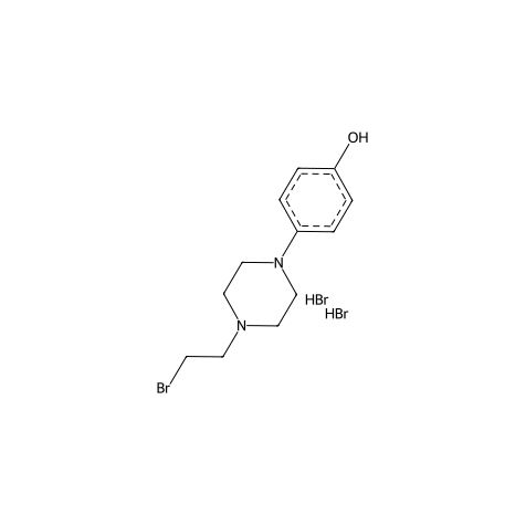 Br.Br.Oc1ccc(N2CCN(CCBr)CC2)cc1